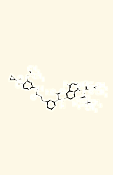 CN(C)Cc1cc(NC(=O)CCc2cccc(C(Nc3ccc4c(N(C(=O)OC(C)(C)C)C(=O)OC(C)(C)C)ncc(F)c4c3)C(=O)O)c2)ccc1S(=O)(=O)C1CC1